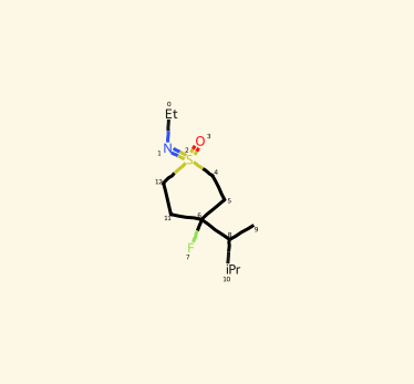 CCN=S1(=O)CCC(F)(C(C)C(C)C)CC1